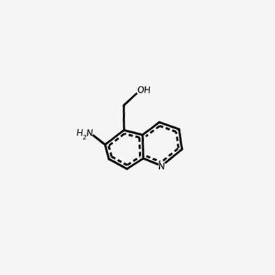 Nc1ccc2ncccc2c1CO